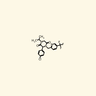 CC(C)N1CC(=O)N(Cc2ccc(C(F)(F)F)cn2)C(c2ccc(Cl)cc2)C1=O